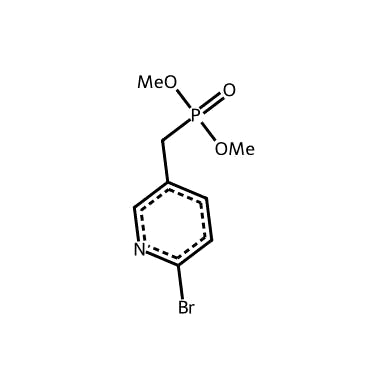 COP(=O)(Cc1ccc(Br)nc1)OC